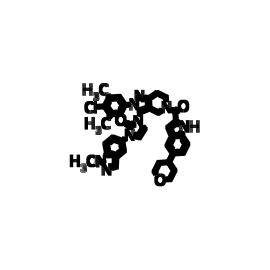 Cc1cc(-n2nc3c(c2-n2ccn(-c4ccc5c(cnn5C)c4)c2=O)CN(C(=O)c2cc4cc(C5CCOCC5)ccc4[nH]2)CC3)cc(C)c1Cl